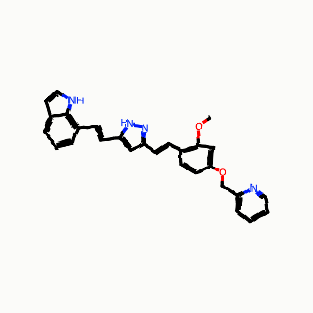 COc1cc(OCc2ccccn2)ccc1/C=C/c1cc(/C=C/c2cccc3cc[nH]c23)[nH]n1